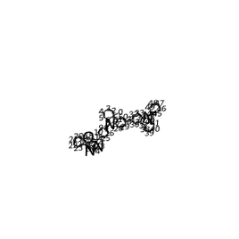 CC12C=CC=CC1N(c1ccc(-c3ncnc4c3oc3ccccc34)cc1)c1ccc(-c3ccc4c(c3)c3ccccc3n4-c3ccccc3)cc12